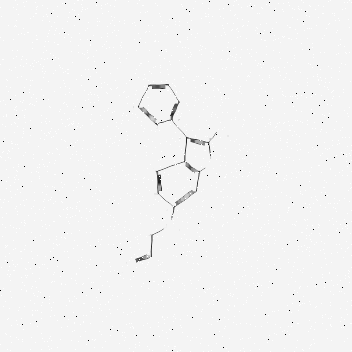 C=CCOc1ccc2c(-c3ccccc3)c(C)oc2c1